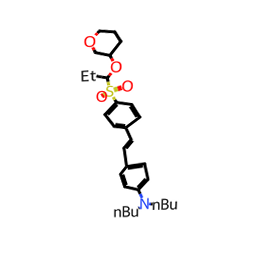 CCCCN(CCCC)c1ccc(C=Cc2ccc(S(=O)(=O)C(CC)OC3CCCOC3)cc2)cc1